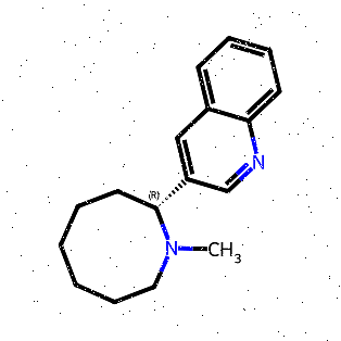 CN1CCCCCC[C@@H]1c1cnc2ccccc2c1